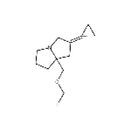 ICOCC12CCCN1CC(=C1CC1)C2